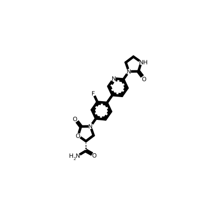 NC(=O)[C@H]1CN(c2ccc(-c3ccc(N4CCNC4=O)nc3)c(F)c2)C(=O)O1